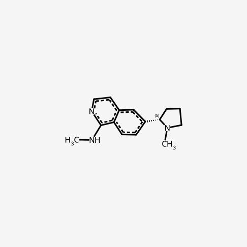 CNc1nccc2cc([C@@H]3CCCN3C)ccc12